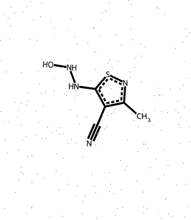 Cc1nsc(NNO)c1C#N